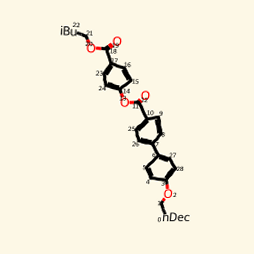 CCCCCCCCCCCOc1ccc(-c2ccc(C(=O)Oc3ccc(C(=O)OCC(C)CC)cc3)cc2)cc1